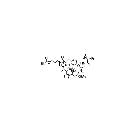 CCC(=O)OCCCNC(=O)C(Cc1ccccc1)NC(=O)[C@H](C)[C@@H](OC)[C@@H]1CCCN1C(=O)C[C@@H](OC)[C@H]([C@@H](C)CC)N(C)C(=O)CNC(=O)[C@H](C(C)C)N(C)C